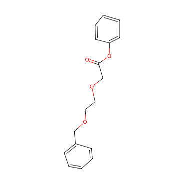 O=C(COCCOCc1ccccc1)Oc1ccccc1